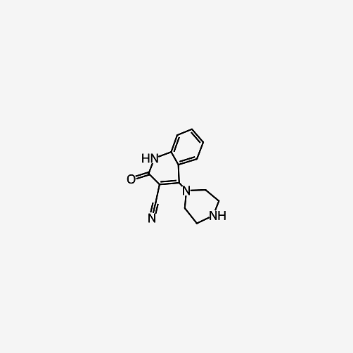 N#Cc1c(N2CCNCC2)c2ccccc2[nH]c1=O